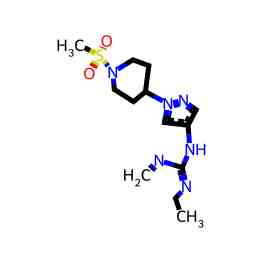 C=N/C(=N\CC)Nc1cnn(C2CCN(S(C)(=O)=O)CC2)c1